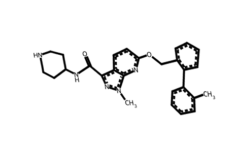 Cc1ccccc1-c1ccccc1COc1ccc2c(C(=O)NC3CCNCC3)nn(C)c2n1